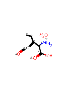 CCC(=C=O)C(N)C(=O)O.O